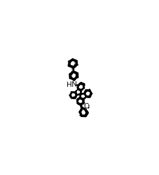 c1ccc(-c2ccc(Nc3cccc4c3-c3ccccc3C43c4ccccc4-c4c3ccc3c4oc4ccccc43)cc2)cc1